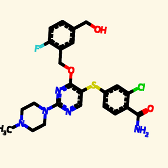 CN1CCN(c2ncc(Sc3ccc(C(N)=O)c(Cl)c3)c(OCc3cc(CO)ccc3F)n2)CC1